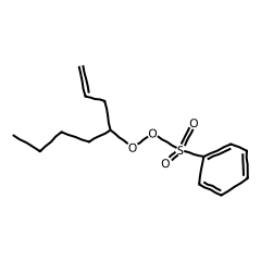 C=CCC(CCCC)OOS(=O)(=O)c1ccccc1